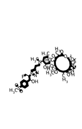 CO[C@]1(C)[C@@H](I)OC(=O)[C@H](C)C(=O)[C@H](C)[C@@H](O[C@@H]2O[C@H](C)C[C@H](N(C)CCc3cn([C@H](CF)[C@H](O)c4ccc(S(C)(=O)=O)cc4)nn3)[C@H]2O)[C@](C)(OC)C[C@@H](C)C(=O)[C@@H]2NN(C=O)[C@H]21